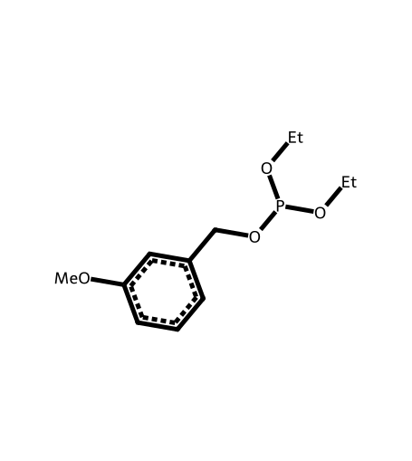 CCOP(OCC)OCc1cccc(OC)c1